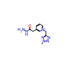 Cn1nnc(C[n+]2cccc(CC(=O)NN)c2)n1